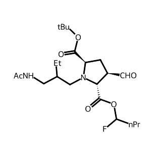 CCCC(F)OC(=O)[C@H]1[C@H](C=O)C[C@H](C(=O)OC(C)(C)C)N1CC(CC)CNC(C)=O